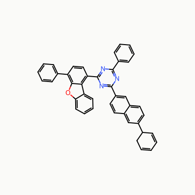 C1=CCC(c2ccc3cc(-c4nc(-c5ccccc5)nc(-c5ccc(-c6ccccc6)c6oc7ccccc7c56)n4)ccc3c2)C=C1